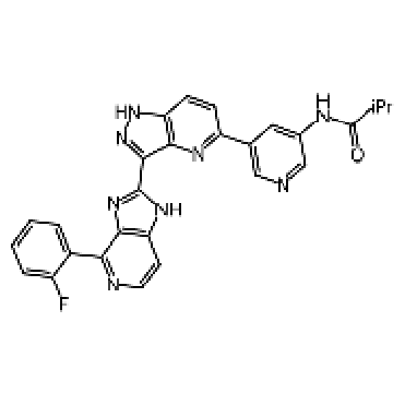 CC(C)C(=O)Nc1cncc(-c2ccc3[nH]nc(-c4nc5c(-c6ccccc6F)nccc5[nH]4)c3n2)c1